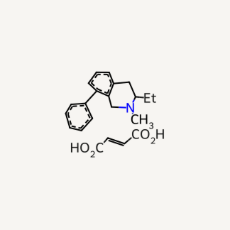 CCC1Cc2cccc(-c3ccccc3)c2CN1C.O=C(O)C=CC(=O)O